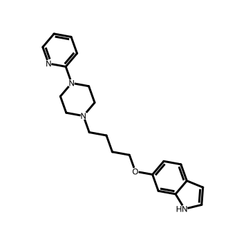 c1ccc(N2CCN(CCCCOc3ccc4cc[nH]c4c3)CC2)nc1